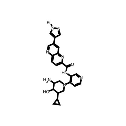 CCn1cc(-c2cnc3ccc(C(=O)Nc4cnccc4N4CC(N)C(O)C(C5CC5)C4)nc3c2)cn1